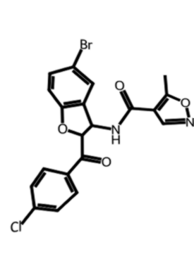 Cc1oncc1C(=O)NC1c2cc(Br)ccc2OC1C(=O)c1ccc(Cl)cc1